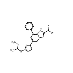 CCC(C)Nc1ncc(C2=CC(c3ccccc3)=C3NC(C(=O)O)=CN3C2)s1